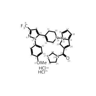 COc1ccc(-n2nc(C(F)(F)F)cc2C2=CCN([N@@+]34C=CC=C3C=C(C(=O)N3CCSC3)C4)CC2)cc1.Cl.Cl